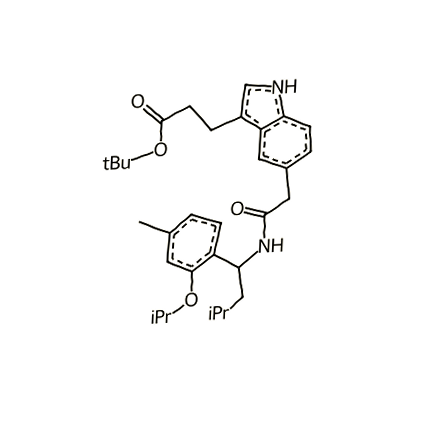 Cc1ccc(C(CC(C)C)NC(=O)Cc2ccc3[nH]cc(CCC(=O)OC(C)(C)C)c3c2)c(OC(C)C)c1